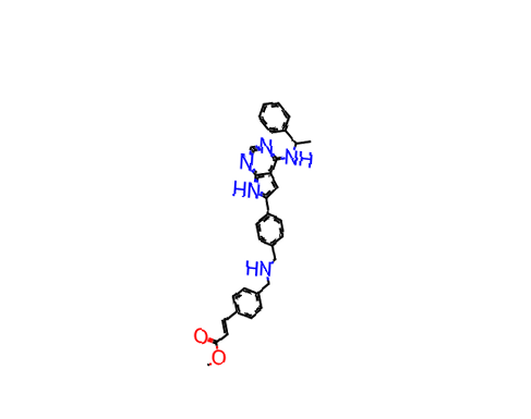 COC(=O)/C=C/c1ccc(CNCc2ccc(-c3cc4c(NC(C)c5ccccc5)ncnc4[nH]3)cc2)cc1